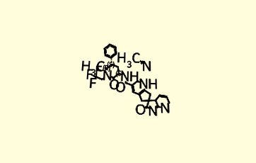 CC#N.C[C@@H]1[C@H](c2ccccc2)C[C@H](NC(=O)C2=CC3=C(CC4(C3)C(=O)N=C3N=CC=CC34)NC2)C(=O)N1CC(F)(F)F